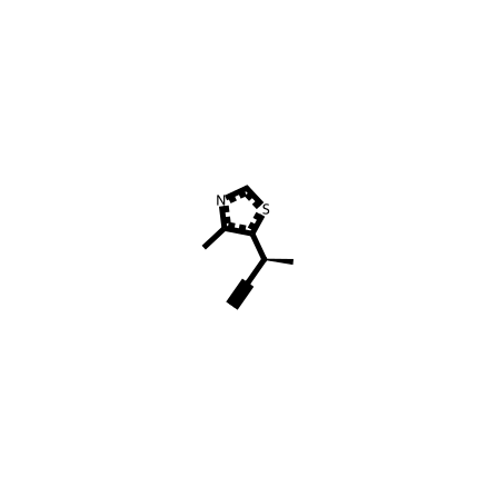 C#C[C@H](C)c1scnc1C